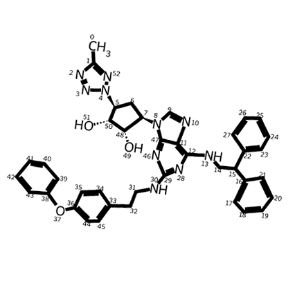 Cc1nnn([C@H]2C[C@@H](n3cnc4c(NCC(c5ccccc5)c5ccccc5)nc(NCCc5ccc(Oc6ccccc6)cc5)nc43)[C@H](O)[C@@H]2O)n1